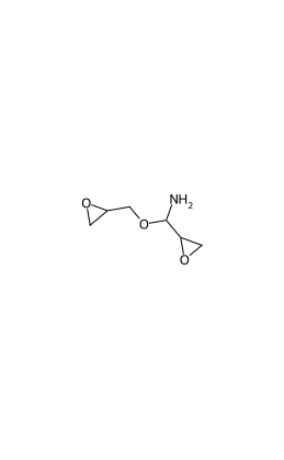 NC(OCC1CO1)C1CO1